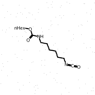 CCCCCCOC(=O)NCCCCCCN=C=O